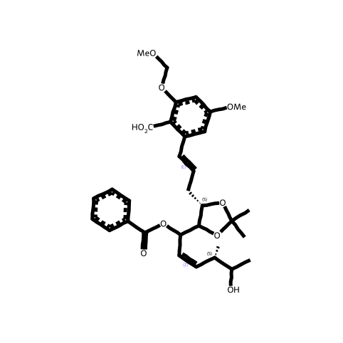 COCOc1cc(OC)cc(/C=C/C[C@@H]2OC(C)(C)OC2C(/C=C\[C@H](C)C(C)O)OC(=O)c2ccccc2)c1C(=O)O